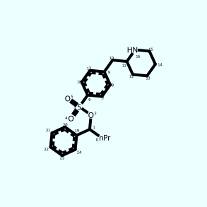 CCCC(OS(=O)(=O)c1ccc(CC2CCCCN2)cc1)c1ccccc1